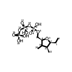 CC[C@@H]1O[C@H](COP(=O)(O)OP(=O)(O)OP(=O)(O)O)C(C)[C@@H]1C